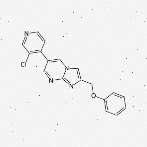 Clc1cnccc1-c1cnc2nc(COc3ccccc3)cn2c1